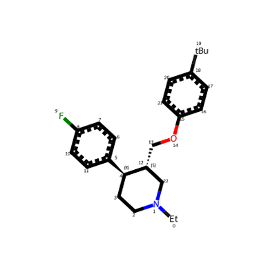 CCN1CC[C@@H](c2ccc(F)cc2)[C@H](COc2ccc(C(C)(C)C)cc2)C1